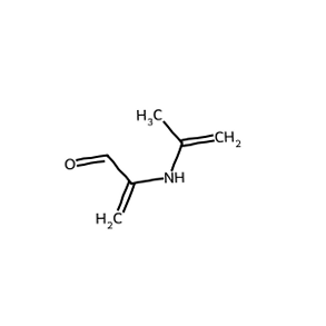 C=C(C)NC(=C)C=O